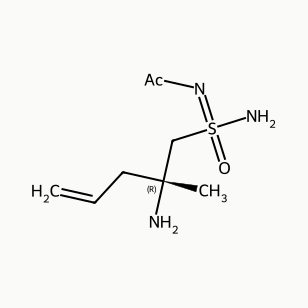 C=CC[C@@](C)(N)CS(N)(=O)=NC(C)=O